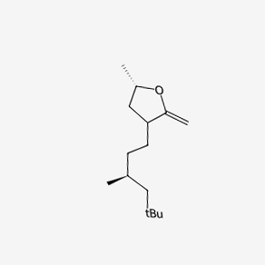 C=C1O[C@@H](C)CC1CC[C@H](C)CC(C)(C)C